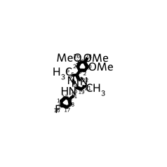 COc1cc(-c2c(C)nn3c(NCc4ccc(F)cc4)cc(C)nc23)cc(OC)c1OC